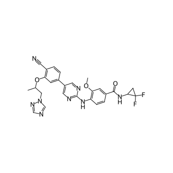 COc1cc(C(=O)NC2CC2(F)F)ccc1Nc1ncc(-c2ccc(C#N)c(OC(C)Cn3cncn3)c2)cn1